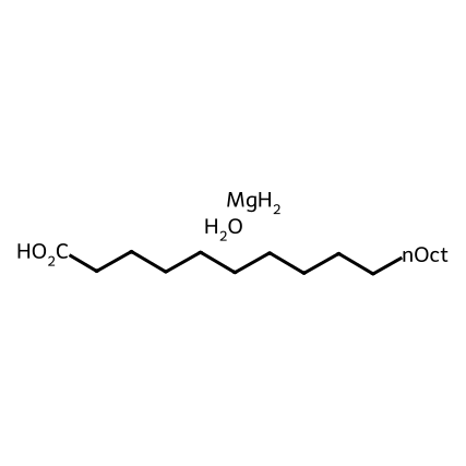 CCCCCCCCCCCCCCCCCC(=O)O.O.[MgH2]